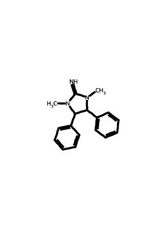 CN1C(=N)N(C)C(c2ccccc2)C1c1ccccc1